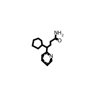 NC(=O)CCC(c1ccccn1)C1CCCCC1